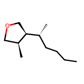 CCCC[C@@H](C)[C@@H]1COC[C@@H]1C